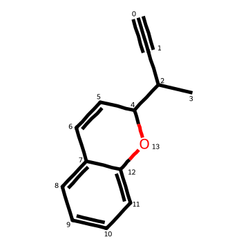 [C]#CC(C)C1C=Cc2ccccc2O1